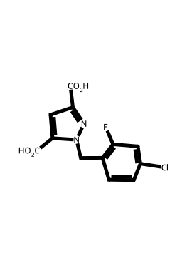 O=C(O)c1cc(C(=O)O)n(Cc2ccc(Cl)cc2F)n1